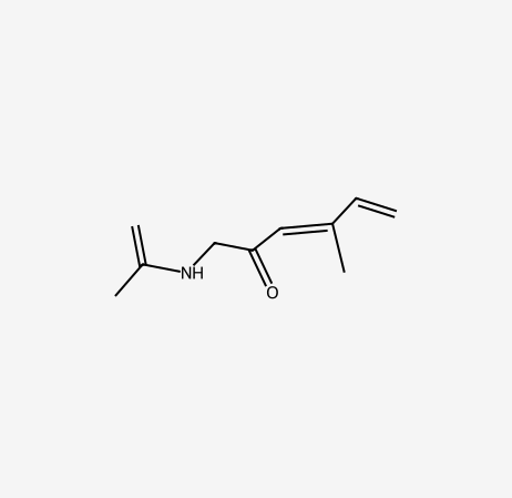 C=C/C(C)=C/C(=O)CNC(=C)C